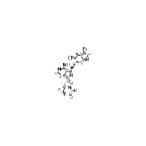 C=CC(=O)N1CC(n2nc(C#Cc3cc4ncn(CC)c4cc3Cl)c3c(N)nccc32)C[C@@H]1C(F)F